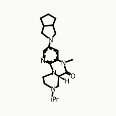 CC(C)N1CCN2c3ncc(N4CC5CCCC5C4)cc3N(C)C(=O)[C@@H]2C1